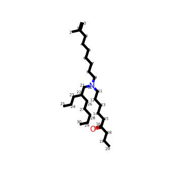 C=C(C)CCCCCCCN(CCCCCC(=O)CCC)CC(CCC)CCCCC